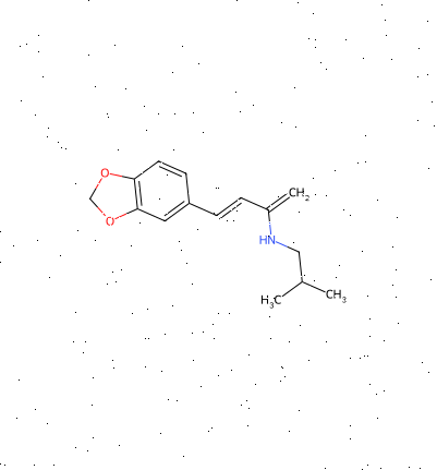 C=C(/C=C/c1ccc2c(c1)OCO2)NCC(C)C